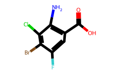 Nc1c(C(=O)O)cc(F)c(Br)c1Cl